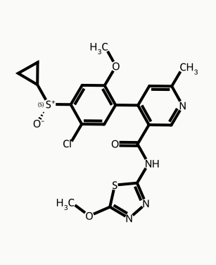 COc1nnc(NC(=O)c2cnc(C)cc2-c2cc(Cl)c([S@+]([O-])C3CC3)cc2OC)s1